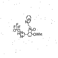 COc1ccc(-c2cncnc2)c2c1C(=O)N(CCc1cn3ccccc3n1)C2.O=C(O)C(F)(F)F